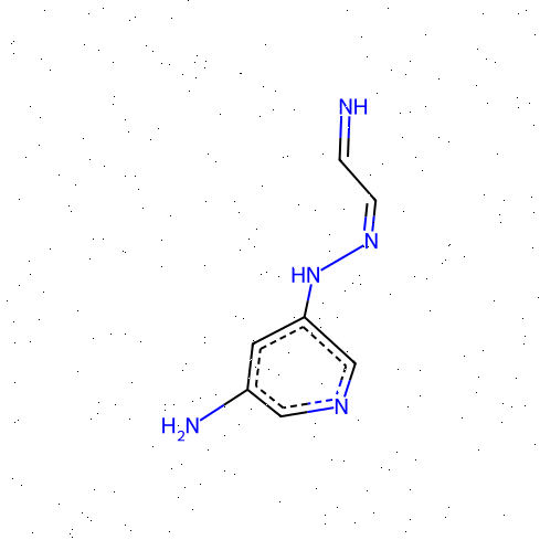 N=C/C=N\Nc1cncc(N)c1